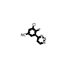 N#Cc1cc(Cl)c(F)c(-c2ccnnn2)c1